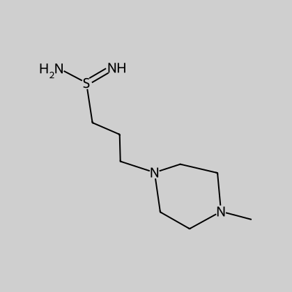 CN1CCN(CCCS(=N)N)CC1